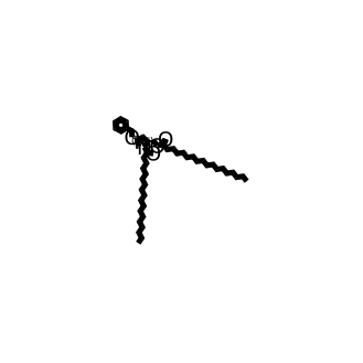 CCCCCCCCCCCCCCCCCC(=O)OC[C@@H]1C[C@@H](OCc2ccccc2)CN1C(=O)CCCCCCCCCCCCCCCCC